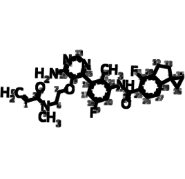 C=CC(=O)N(C)CCOc1c(N)ncnc1-c1cc(F)cc(NC(=O)c2ccc3c(c2F)CCC32CC2)c1C